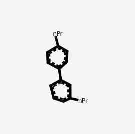 CCCc1ccc(-c2cccc(CCC)c2)cc1